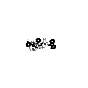 CC(C)(C)[C@@H](NCC[C@H](NC(=O)OCC1c2ccccc2-c2ccccc21)C(=O)O)c1cc(-c2cc(F)ccc2F)cn1Cc1ccccc1